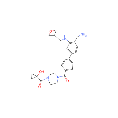 NCc1ccc(-c2ccc(C(=O)N3CCN(C(=O)C4(O)CC4)CC3)cc2)cc1NCC1COC1